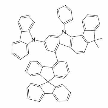 CC1(C)c2ccccc2-c2c1ccc1c3c(-c4cccc5c4-c4ccccc4C54c5ccccc5-c5ccccc54)cc(-n4c5ccccc5c5ccccc54)cc3n(-c3ccccc3)c21